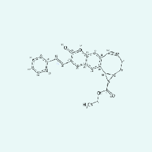 CCOC(=O)C1C2CCC#Cc3cc4oc(=O)c(/C=C/c5ccccn5)cc4cc3C21